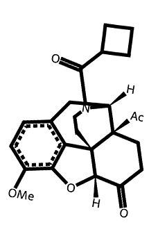 COc1ccc2c3c1O[C@H]1C(=O)CC[C@@]4(C(C)=O)[C@@H](C2)N(C(=O)C2CCC2)CC[C@]314